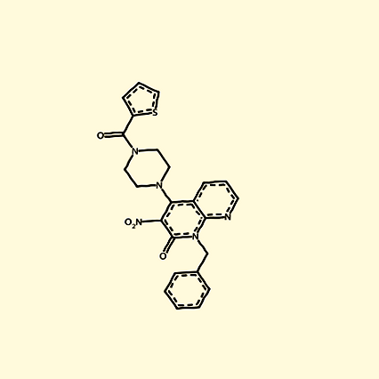 O=C(c1cccs1)N1CCN(c2c([N+](=O)[O-])c(=O)n(Cc3ccccc3)c3ncccc23)CC1